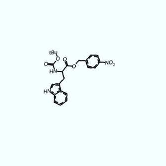 CC(C)(C)OC(=O)NC(Cc1c[nH]c2ccccc12)C(=O)OCc1ccc([N+](=O)[O-])cc1